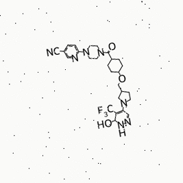 N#Cc1ccc(N2CCN(C(=O)C3CCC(OCC4CCN(C5=C(C(F)(F)F)C(O)NN=C5)C4)CC3)CC2)nc1